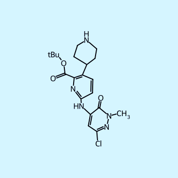 Cn1nc(Cl)cc(Nc2ccc(C3CCNCC3)c(C(=O)OC(C)(C)C)n2)c1=O